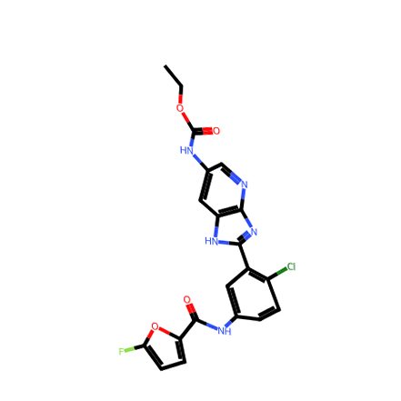 CCOC(=O)Nc1cnc2nc(-c3cc(NC(=O)c4ccc(F)o4)ccc3Cl)[nH]c2c1